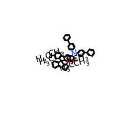 CC(C)(C)c1ccc2c(c1)C1(c3cc(C(C)(C)C)ccc3-2)c2ccccc2-c2cccc(-c3ccc(N(c4ccc(-c5ccccc5)cc4)c4ccc(-c5ccccc5)cc4)cc3)c21